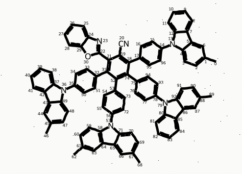 Cc1ccc2c(c1)c1ccccc1n2-c1ccc(-c2c(C#N)c(-c3nc4ccccc4o3)c(-c3ccc(-n4c5ccccc5c5cc(C)ccc54)cc3)c(-c3ccc(-n4c5ccc(C)cc5c5cc(C)ccc54)cc3)c2-c2ccc(-n3c4ccccc4c4cc(C)ccc43)cc2)cc1